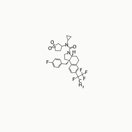 CC(F)(c1ccc2c(c1)CC[C@H]1N(C(=O)N(C3CC3)C3CCS(=O)(=O)C3)CC[C@@]21Cc1ccc(F)cc1)C(F)(F)F